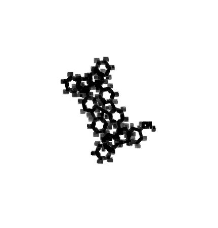 CC1C=C(N(c2ccccc2)c2ccc3c(c2)C2(c4cc(N(c5ccccc5)c5ccccc5)ccc4-3)c3cc(N(c4ccccc4)c4ccccc4)ccc3-c3ccc(N(c4ccccc4)c4ccccc4)cc32)C=CC1